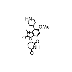 COc1ccc2c(c1C1CCNCC1)n(C)c(=O)n2[C@H]1CCC(=O)NC1=O